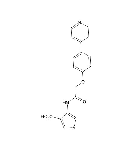 O=C(COc1ccc(-c2ccncc2)cc1)Nc1cscc1C(=O)O